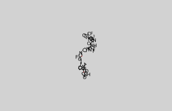 O=C1CCC(c2nn(C3CC3)c3c(C#CCO[C@@H]4CCN(C[C@H]5CC[C@H](n6cc(NC(=O)c7cnn8ccc(N9CCOC[C@H]9C(F)(F)F)nc78)c(C(F)F)n6)CC5)C[C@@H]4F)cccc23)C(=O)N1